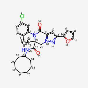 Cc1ccc(Cl)cc1N1C(=O)c2cc(-c3ccco3)nn2CC1(C)C(=O)NC1CCCCCCC1